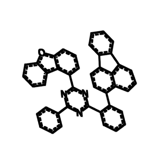 c1ccc(-c2nc(-c3ccccc3-c3ccc4c5c(cccc35)-c3ccccc3-4)nc(-c3cccc4oc5ccccc5c34)n2)cc1